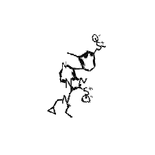 CCCN(CC1CC1)c1c([S+](C)[O-])nc2c(-c3ccc([S+](C)[O-])cc3C)nccn12